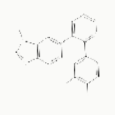 Cc1cc(-c2ncccc2-c2ccc3ncn(C)c3c2)ccc1F